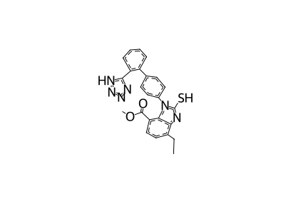 CCc1ccc(C(=O)OC)c2c1nc(S)n2-c1ccc(-c2ccccc2-c2nnn[nH]2)cc1